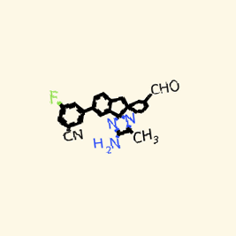 CC1=NC2(N=C1N)c1cc(-c3cc(F)cc(C#N)c3)ccc1CC21CCCC(C=O)C1